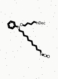 CCCCCCCCCCCCCCON(CCCCCCCCCCN=C=O)c1ccccc1